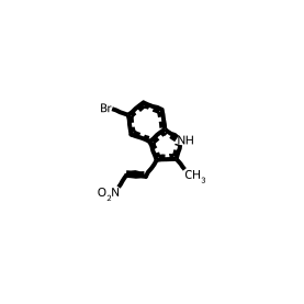 Cc1[nH]c2ccc(Br)cc2c1C=C[N+](=O)[O-]